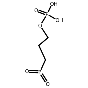 O=P(=O)CCCOP(=O)(O)O